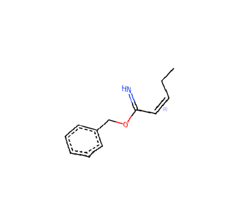 CC/C=C\C(=N)OCc1ccccc1